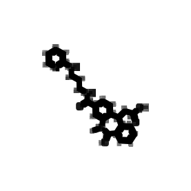 CN1C(=O)c2ccccc2C(CC(=O)O)c2ccc(C(=O)NCCCNc3ccccn3)cc21